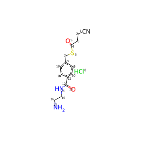 Cl.N#CCCC(=O)SCc1ccc(C(=O)NCCN)cc1